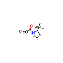 COC(=O)N1CCCC1[Si](C)(C)C